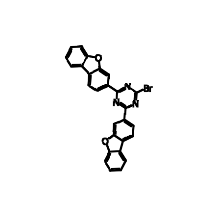 Brc1nc(-c2ccc3c(c2)oc2ccccc23)nc(-c2ccc3c(c2)oc2ccccc23)n1